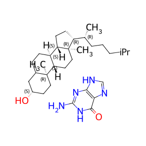 CC(C)CCC[C@@H](C)[C@H]1CC[C@H]2[C@@H]3CC=C4C[C@@H](O)CC[C@]4(C)[C@H]3CC[C@]12C.Nc1nc2[nH]cnc2c(=O)[nH]1